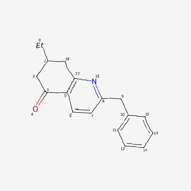 CCC1CC(=O)c2ccc(Cc3ccccc3)nc2C1